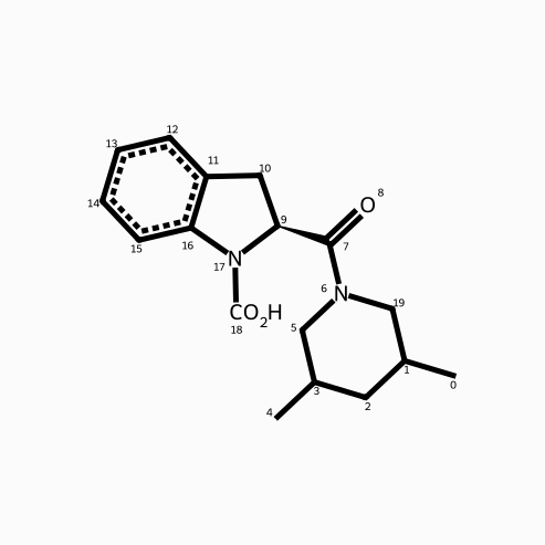 CC1CC(C)CN(C(=O)[C@@H]2Cc3ccccc3N2C(=O)O)C1